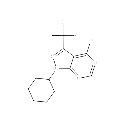 FC(F)(F)c1nn(C2CCCCC2)c2ncnc(Cl)c12